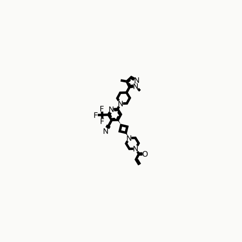 C=CC(=O)N1CCN([C@H]2C[C@@H](c3cc(N4CCC(c5c(C)cnn5C)CC4)nc(C(F)(F)F)c3C#N)C2)CC1